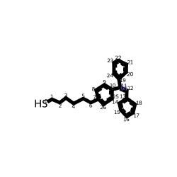 SCCCCCCc1ccc(/C(=C\c2ccccc2)c2ccccc2)cc1